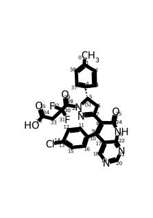 Cc1ccc([C@@H]2CC(c3c(-c4ccc(Cl)cc4)c4cncnc4[nH]c3=O)=NN2C(=O)C(F)(F)CC(=O)O)cc1